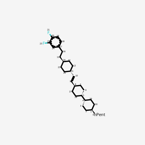 CCCCC[C@H]1CC[C@H]([C@H]2CC[C@H](C=C[C@H]3CC[C@H](CCc4ccc(F)c(F)c4)CC3)CC2)CC1